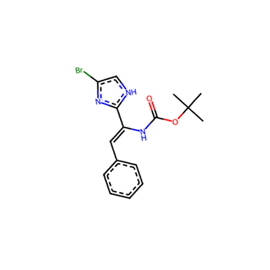 CC(C)(C)OC(=O)NC(=Cc1ccccc1)c1nc(Br)c[nH]1